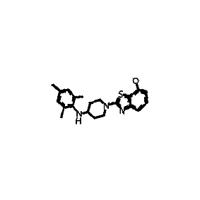 Cc1cc(C)c(NC2CCN(c3nc4cccc([O])c4s3)CC2)c(C)c1